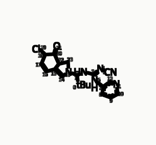 CC(C)(C)C(NC(=NC#N)Nc1cccnc1)N1C=C2C=CC(Cl)C(=O)C2C1